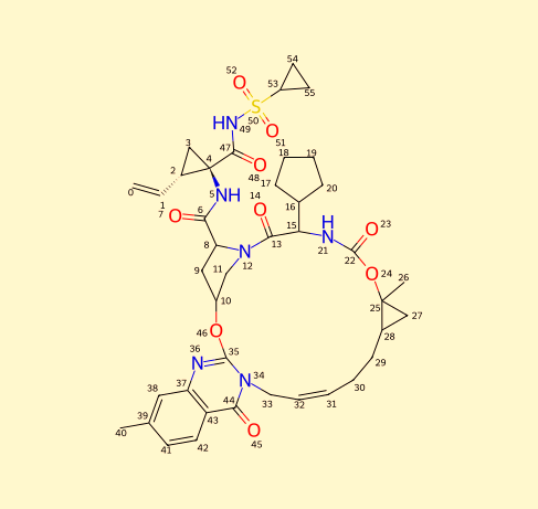 C=C[C@@H]1C[C@]1(NC(=O)C1CC2CN1C(=O)C(C1CCCC1)NC(=O)OC1(C)CC1CCC=CCn1c(nc3cc(C)ccc3c1=O)O2)C(=O)NS(=O)(=O)C1CC1